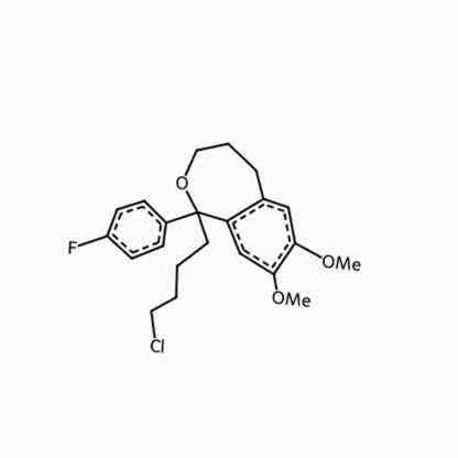 COc1cc2c(cc1OC)C(CCCCCl)(c1ccc(F)cc1)OCCC2